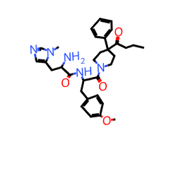 CCCC(=O)C1(c2ccccc2)CCN(C(=O)C(Cc2ccc(OC)cc2)NC(=O)C(N)Cc2cncn2C)CC1